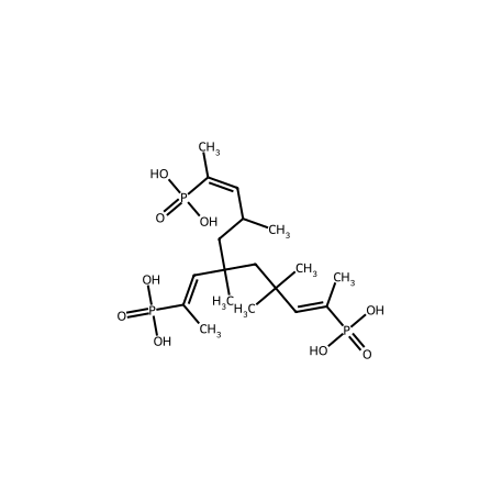 C/C(=C/C(C)CC(C)(/C=C(\C)P(=O)(O)O)CC(C)(C)/C=C(\C)P(=O)(O)O)P(=O)(O)O